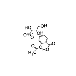 CC(=O)Oc1ccccc1C(=O)O.O=[N+]([O-])C(O)C(O)CO